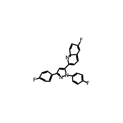 Fc1ccc(-c2cc(-c3ccc4cc(F)ccc4n3)n(-c3ccc(F)cc3)n2)cc1